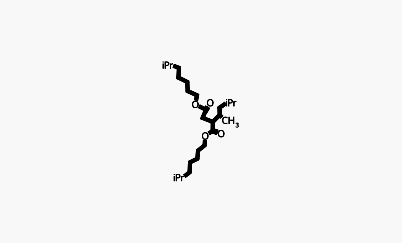 CC(C)CCCCCOC(=O)CC(C(=O)OCCCCCC(C)C)C(C)CC(C)C